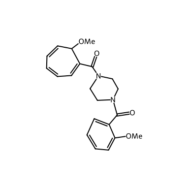 COc1ccccc1C(=O)N1CCN(C(=O)C2=CC=CC=CC2OC)CC1